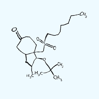 CCCCCCS(=O)(=O)CC12CCC(=O)CC1CC(C)[C@@H]2OC(C)(C)C